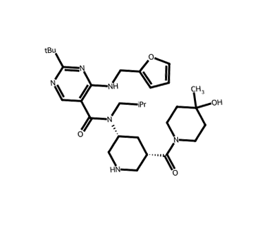 CC(C)CN(C(=O)c1cnc(C(C)(C)C)nc1NCc1ccco1)[C@H]1CNC[C@@H](C(=O)N2CCC(C)(O)CC2)C1